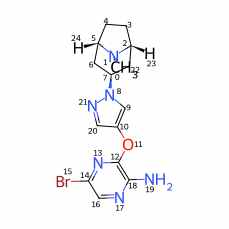 CN1[C@@H]2CC[C@H]1C[C@H](n1cc(Oc3nc(Br)cnc3N)cn1)C2